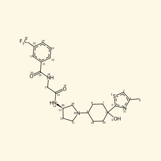 Cc1csc(C2(O)CCC(N3CC[C@@H](NC(=O)CNC(=O)c4cccc(C(F)(F)F)c4)C3)CC2)n1